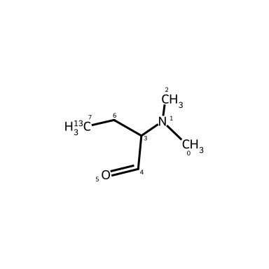 CN(C)C(C=O)C[13CH3]